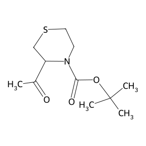 CC(=O)C1CSCCN1C(=O)OC(C)(C)C